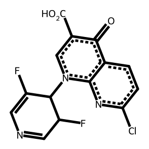 O=C(O)c1cn(C2C(F)=CN=CC2F)c2nc(Cl)ccc2c1=O